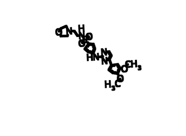 COc1ccc(-c2ccnc(Nc3ccc(S(=O)(=O)NCCN4CCOCC4)cc3)n2)cc1OC